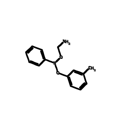 Cc1cccc(OB(OCN)c2ccccc2)c1